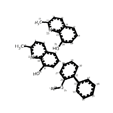 Cc1ccc2cccc(O)c2n1.Cc1ccc2cccc(O)c2n1.[Al][O]c1ccccc1-c1ccccc1